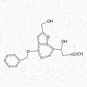 C#CCC(O)c1ccc(OCc2ccccc2)c2cc(CO)oc12